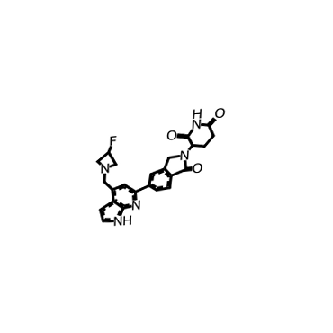 O=C1CCC(N2Cc3cc(-c4cc(CN5CC(F)C5)c5cc[nH]c5n4)ccc3C2=O)C(=O)N1